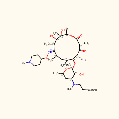 C#CCCN(C)[C@H]1C[C@@H](C)O[C@@H](O[C@@H]2[C@@H](C)C(=O)[C@@H](C)C(=O)O[C@H](CC)[C@@](C)(O)[C@H](O)[C@@H](C)/C(=N/OC3CCN(C(C)C)CC3)[C@H](C)C[C@@]2(C)OC)[C@@H]1O